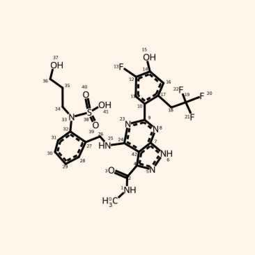 CNC(=O)c1n[nH]c2nc(-c3cc(F)c(O)cc3CC(F)(F)F)nc(NCc3ccccc3N(CCCO)S(=O)(=O)O)c12